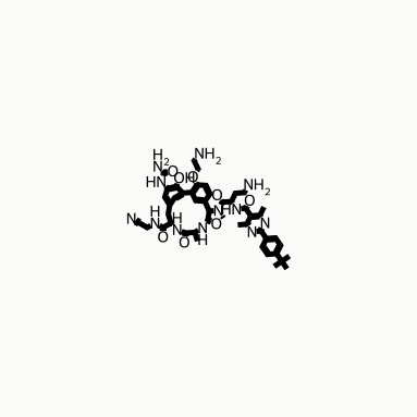 Cc1nc(-c2ccc(C(C)(C)C)cc2)nc(C)c1C(=O)NC(CCN)C(=O)N(C)C1C(=O)NC(C)C(=O)NC(C(=O)NCC#N)Cc2cc(NC(N)=O)c(O)c(c2)-c2cc1ccc2OCCN